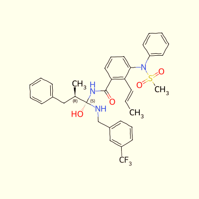 CC=Cc1c(C(=O)N[C@@](O)(NCc2cccc(C(F)(F)F)c2)[C@H](C)Cc2ccccc2)cccc1N(c1ccccc1)S(C)(=O)=O